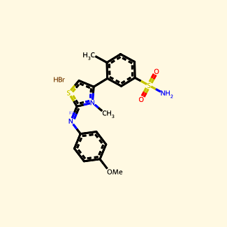 Br.COc1ccc(/N=c2/scc(-c3cc(S(N)(=O)=O)ccc3C)n2C)cc1